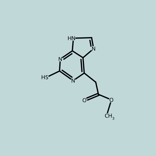 COC(=O)Cc1nc(S)nc2[nH]cnc12